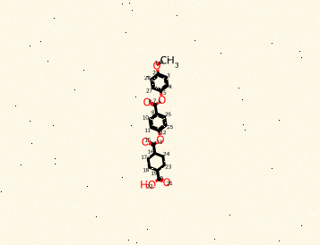 COc1ccc(OC(=O)c2ccc(OC(=O)C3CCC(C(=O)O)CC3)cc2)cc1